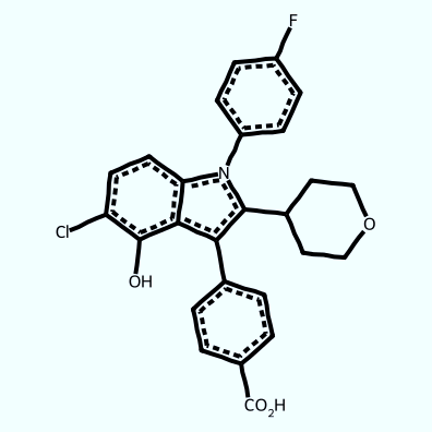 O=C(O)c1ccc(-c2c(C3CCOCC3)n(-c3ccc(F)cc3)c3ccc(Cl)c(O)c23)cc1